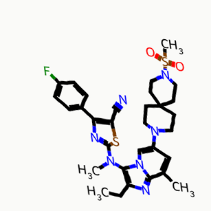 CCc1nc2c(C)cc(N3CCC4(CC3)CCN(S(C)(=O)=O)CC4)cn2c1N(C)c1nc(-c2ccc(F)cc2)c(C#N)s1